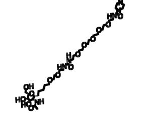 CC(=O)N[C@@H]1[C@@H](O)[C@@H](O)[C@@H](CO)O[C@@H]1CCCCCOCCOCCNC(=O)NCCOCCOCCOCCOCCOCCNC(=O)N1CCN(CCN2C(=O)C=CC2=O)CC1